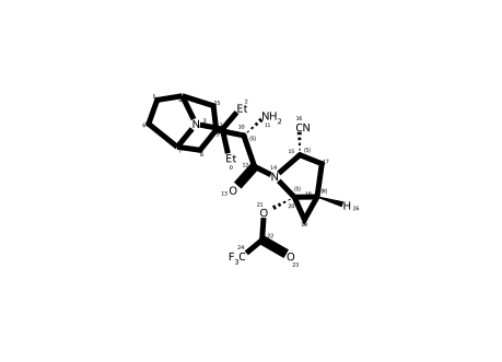 CCC(CC)N1C2CCC1CC([C@H](N)C(=O)N1[C@H](C#N)C[C@@H]3C[C@]31OC(=O)C(F)(F)F)C2